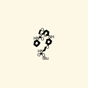 CC(C)(C)OC(=O)NCCOc1ccc(Nc2ccc3c(n2)N(C(=O)Nc2ccccc2)CCO3)cc1